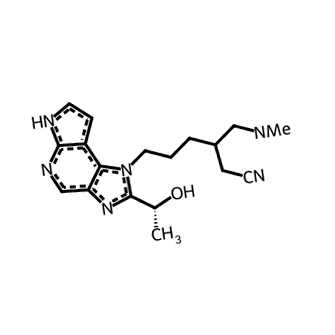 CNCC(CC#N)CCCn1c([C@@H](C)O)nc2cnc3[nH]ccc3c21